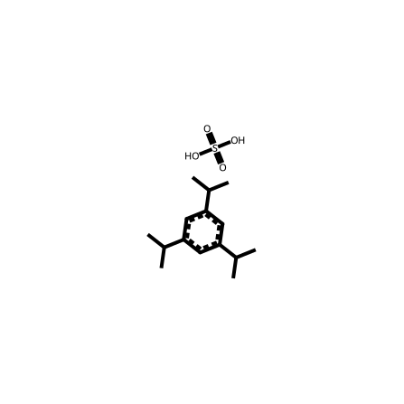 CC(C)c1cc(C(C)C)cc(C(C)C)c1.O=S(=O)(O)O